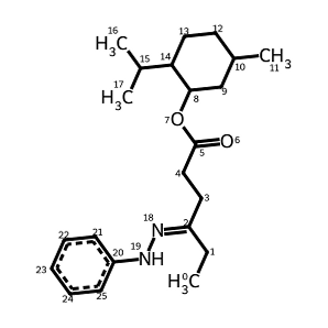 CCC(CCC(=O)OC1CC(C)CCC1C(C)C)=NNc1ccccc1